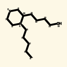 [CH2]CCCCN1CCSCC1CCCCO